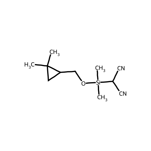 CC1(C)CC1CO[Si](C)(C)C(C#N)C#N